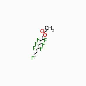 C=CC(=O)OCC(F)C(F)C(F)C(F)C(F)C(F)CCCF